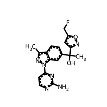 Cc1nn(-c2ccnc(N)n2)c2cc(C(C)(O)c3cc(CF)on3)ccc12